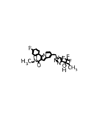 CCNC(=O)c1cc2cc(Cn3cc(C(O)(CC)C(F)(F)F)nn3)ccn2c1-c1ccc(F)cc1